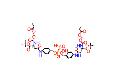 CCC(=O)OCOC(=O)N[C@@H](CC(=O)Nc1ccc(COP(=O)(CP(=O)(O)O)OCc2ccc(NC(=O)C[C@H](NC(=O)OCOC(=O)CC)C(=O)OC(C)(C)C)cc2)cc1)C(=O)OC(C)(C)C